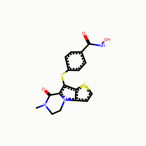 CN1CCn2c(c(Sc3ccc(C(=O)NO)cc3)c3sccc32)C1=O